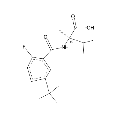 CC(C)[C@@](C)(NC(=O)c1cc(C(C)(C)C)ccc1F)C(=O)O